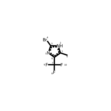 Cc1[nH]c(Br)nc1C(F)(F)F